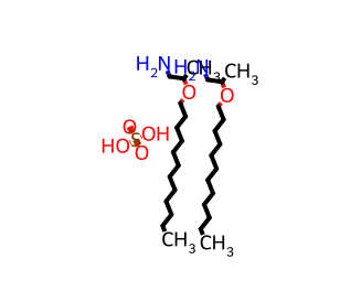 CCCCCCCCCCCCOC(C)CN.CCCCCCCCCCCCOC(C)CN.O=S(=O)(O)O